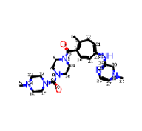 CC1=C(C(=O)N2CCN(C(=O)N3CCN(C)CC3)CC2)C=CC(NC2=NC=CN(C)C2)=CC1